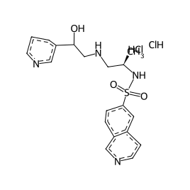 C[C@H](CNCC(O)c1cccnc1)NS(=O)(=O)c1ccc2cnccc2c1.Cl.Cl